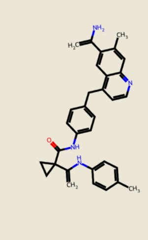 C=C(N)c1cc2c(Cc3ccc(NC(=O)C4(C(=C)Nc5ccc(C)cc5)CC4)cc3)ccnc2cc1C